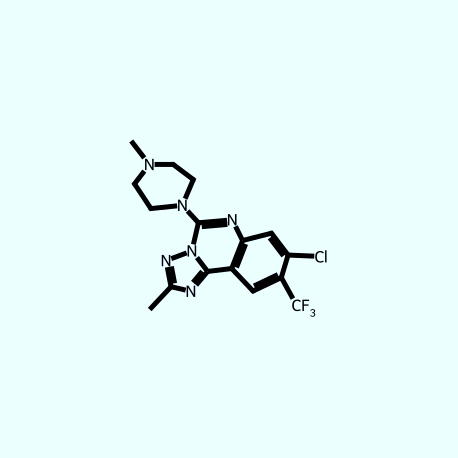 Cc1nc2c3cc(C(F)(F)F)c(Cl)cc3nc(N3CCN(C)CC3)n2n1